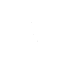 CC(S)N1C(=O)CCC1=O